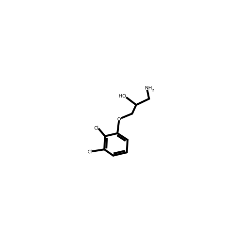 NCC(O)COc1cccc(Cl)c1Cl